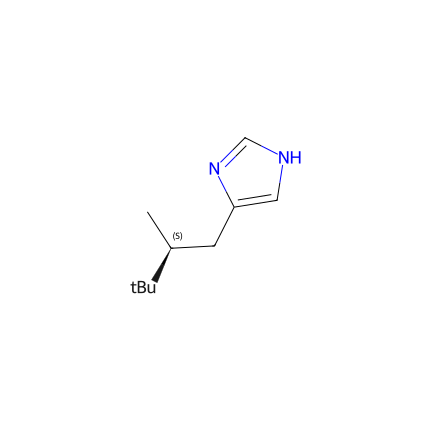 C[C@@H](Cc1c[nH]cn1)C(C)(C)C